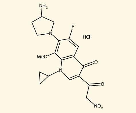 COc1c(N2CCC(N)C2)c(F)cc2c(=O)c(C(=O)C[N+](=O)[O-])cn(C3CC3)c12.Cl